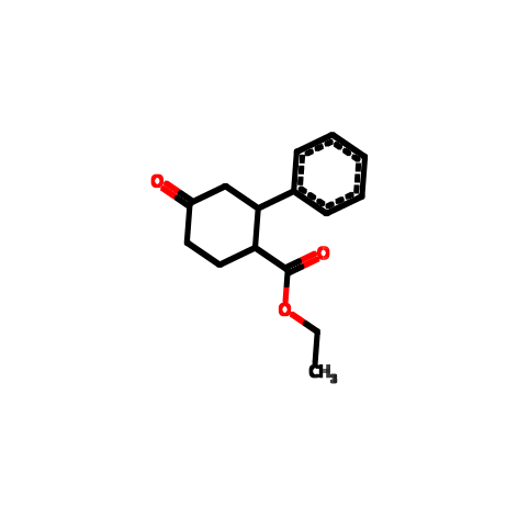 CCOC(=O)C1CCC(=O)CC1c1ccccc1